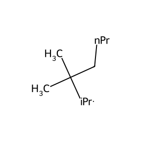 CCCCC(C)(C)[C](C)C